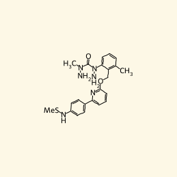 CSNc1ccc(-c2cccc(OCc3c(C)cccc3N(N)C(=O)N(C)N)n2)cc1